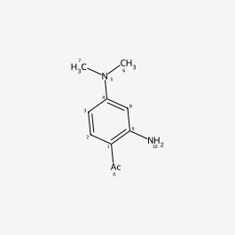 CC(=O)c1ccc(N(C)C)cc1N